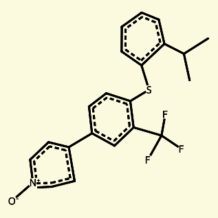 CC(C)c1ccccc1Sc1ccc(-c2cc[n+]([O-])cc2)cc1C(F)(F)F